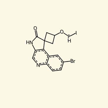 O=C1Nc2cnc3ccc(Br)cc3c2C12CC(OPI)C2